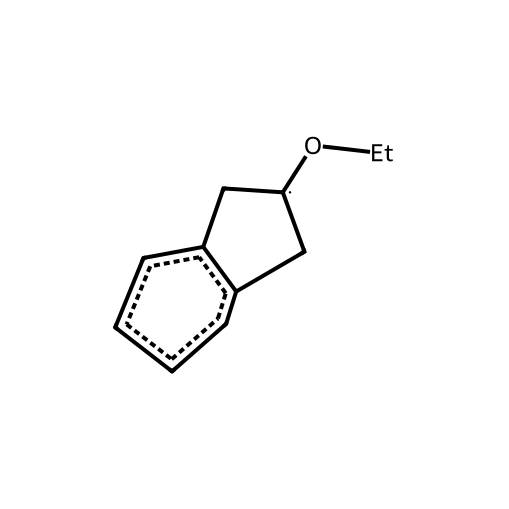 CCO[C]1Cc2ccccc2C1